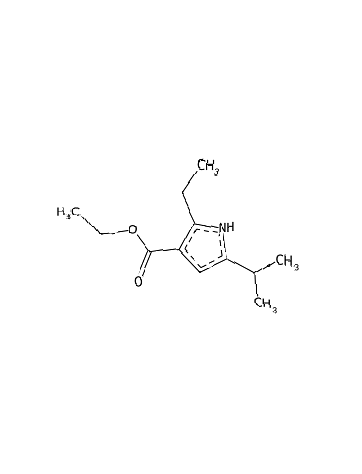 CCOC(=O)c1cc(C(C)C)[nH]c1CC